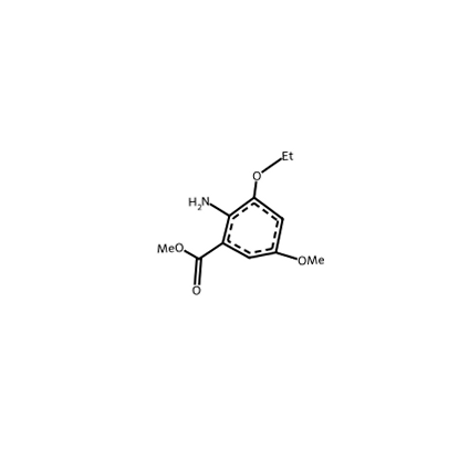 CCOc1cc(OC)cc(C(=O)OC)c1N